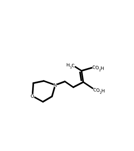 CC(C(=O)O)=C(CCN1CCOCC1)C(=O)O